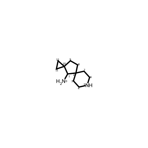 NC1C2(CCNCC2)CCC12CC2